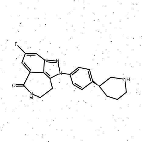 O=C1NCCc2c3c1cc(F)cc3nn2-c1ccc([C@@H]2CCCNC2)cc1